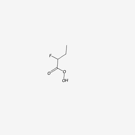 CCC(F)C(=O)OO